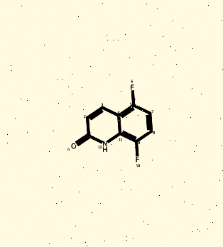 O=c1ccc2c(F)ccc(F)c2[nH]1